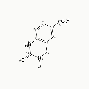 CN1Cc2cc(C(=O)O)ccc2NC1=O